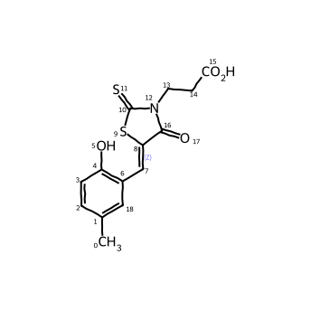 Cc1ccc(O)c(/C=C2\SC(=S)N(CCC(=O)O)C2=O)c1